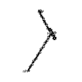 CCCOCCOCCOCCOCCOCCOCCOCCOCCOCCOCCOCCOCCC(=O)N[C@@H](Cc1ccc(OCCOCCOCCOCCOCCC(=O)OC(C)(C)C)cc1)C(=O)OCc1ccccc1